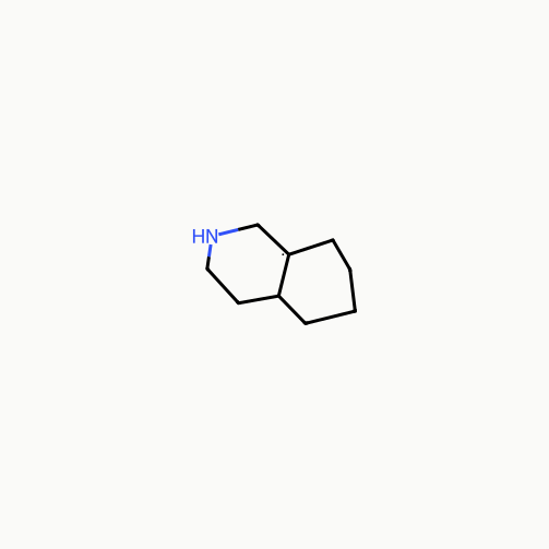 C1CCC2CCNC[C]2C1